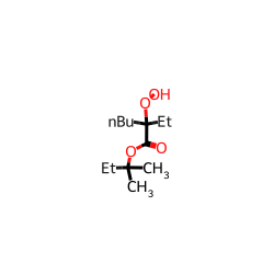 CCCCC(CC)(OO)C(=O)OC(C)(C)CC